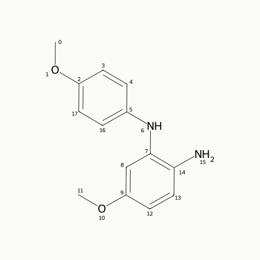 COc1ccc(Nc2cc(OC)ccc2N)cc1